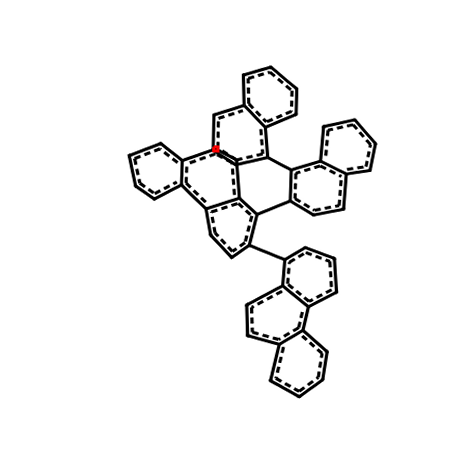 c1ccc2c(-c3c(-c4c(-c5cccc6c5ccc5ccccc56)ccc5c4ccc4ccccc45)ccc4ccccc34)cccc2c1